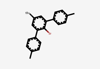 Cc1ccc(-c2cc(C(C)(C)C)cc(-c3ccc(C)cc3)c2Br)cc1